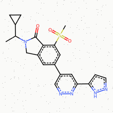 CC(C1CC1)N1Cc2cc(-c3cnnc(-c4ccn[nH]4)c3)cc(S(C)(=O)=O)c2C1=O